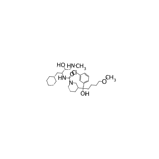 CNCC(O)C(CC1CCCCC1)NC(=O)N1CCCC(C(O)(CCCCOC)c2cccc(Cl)c2)C1